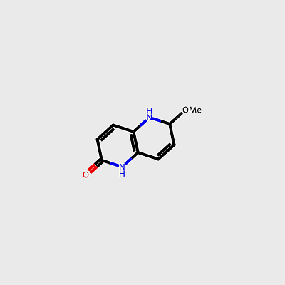 COC1C=Cc2[nH]c(=O)ccc2N1